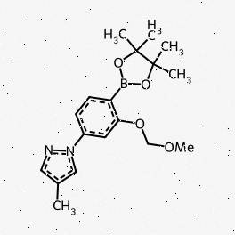 COCOc1cc(-n2cc(C)cn2)ccc1B1OC(C)(C)C(C)(C)O1